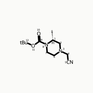 C[C@@H]1CN(CC#N)CCN1C(=O)OC(C)(C)C